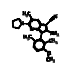 COc1ccc(C)c(-c2c(N)c(C#N)c3cc(C)c(N4CCCC4)nn23)c1C